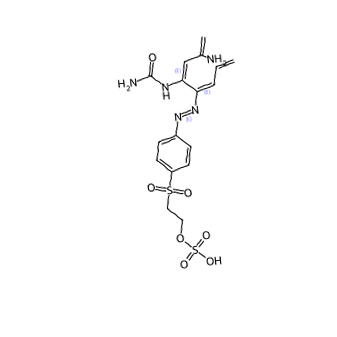 C=C/C=C(/N=N/c1ccc(S(=O)(=O)CCOS(=O)(=O)O)cc1)C(=C/C(=C)N)\NC(N)=O